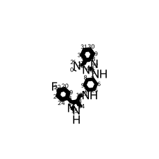 CN(C)c1nc(N[C@H]2CC[C@@H](NCc3c[nH]nc3-c3ccc(F)cc3)CC2)nc2ccccc12